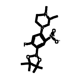 CC1CN(c2cc(F)c(B3OC(C)(C)C(C)(C)O3)cc2[N+](=O)[O-])CCN1C